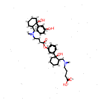 CN(CCCC(=O)O)CC1CCCCC1(O)c1cccc(OC(=O)CCCN(C)CC2CCCCC2(O)c2cccc(O)c2)c1